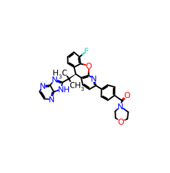 CC(C)(c1nc2nccnc2[nH]1)[C@@H]1c2ccc(-c3ccc(C(=O)N4CCOCC4)cc3)nc2Oc2c(F)cccc21